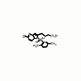 Cc1ccc(C)c(S(=O)(=O)n2c(CCCC(=O)O)cc3nc(Cl)ccc32)c1